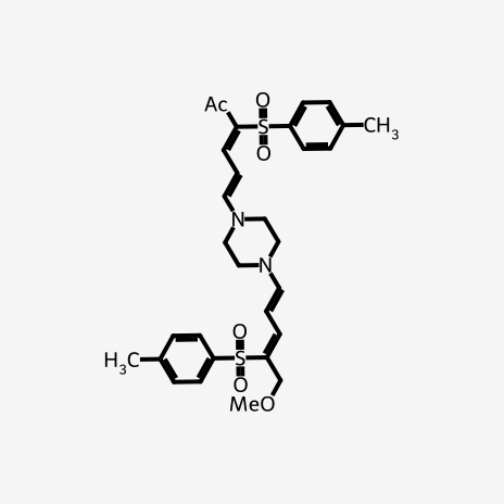 COCC(=CC=CN1CCN(C=CC=C(C(C)=O)S(=O)(=O)c2ccc(C)cc2)CC1)S(=O)(=O)c1ccc(C)cc1